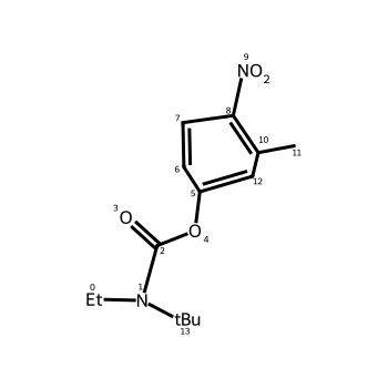 CCN(C(=O)Oc1ccc([N+](=O)[O-])c(C)c1)C(C)(C)C